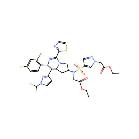 CCOC(=O)CN([C@H]1CC2=C(c3ccn(C(F)F)n3)[C@H](c3ccc(F)cc3Cl)N=C(c3nccs3)N2C1)S(=O)(=O)c1cnn(CC(=O)OCC)c1